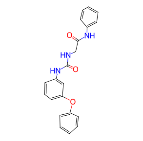 O=C(CNC(=O)Nc1cccc(Oc2ccccc2)c1)Nc1ccccc1